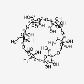 CCC1OC2OC3C(CO)OC(OC4C(C)OC(OC5C(CO)OC(OC6C(CO)OC(OC7C(CO)OC(OC1C(O)C2O)C(O)C7O)C(O)C6O)C(O)C5O)C(O)C4O)C(O)C3O